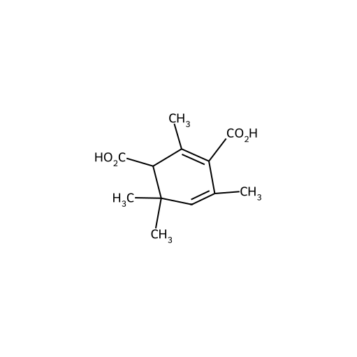 CC1=CC(C)(C)C(C(=O)O)C(C)=C1C(=O)O